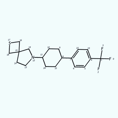 FC(F)(F)c1ccc(C2CCC(N3CCC4(CSC4)C3)CC2)cc1